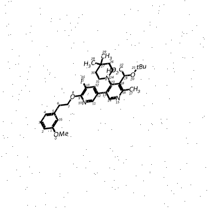 COc1cccc(CCOc2ncc(-c3cnc(C)c(C(OC(C)(C)C)C(=O)O)c3N3CCC(C)(C)CC3)cc2F)c1